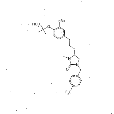 CCCCc1cc(CCCC2CN(Cc3ccc(C(F)(F)F)cc3)C(=O)N2C)ccc1OC(C)(C)C(=O)O